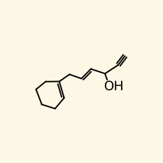 C#CC(O)C=CCC1=CCCCC1